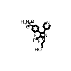 NS(=O)(=O)c1ccc(-c2c(-c3ccncc3)nn(CCCO)c2C(F)(F)F)cc1